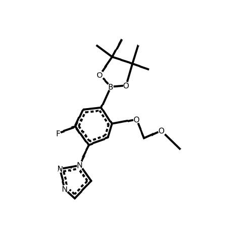 COCOc1cc(-n2ccnn2)c(F)cc1B1OC(C)(C)C(C)(C)O1